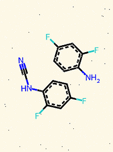 N#CNc1ccc(F)cc1F.Nc1ccc(F)cc1F